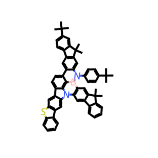 CC(C)(C)c1ccc(N2B3c4cc5c(cc4-n4c6cc7c(cc6c6ccc(c3c64)-c3cc4c(cc32)C(C)(C)c2cc(C(C)(C)C)ccc2-4)sc2ccccc27)-c2ccccc2C5(C)C)cc1